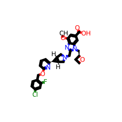 COc1cc(C(=O)O)cc2c1nc(CN1C[C@@H]3[C@H](C1)[C@H]3c1cccc(OCc3ccc(Cl)cc3F)n1)n2C[C@@H]1CCO1